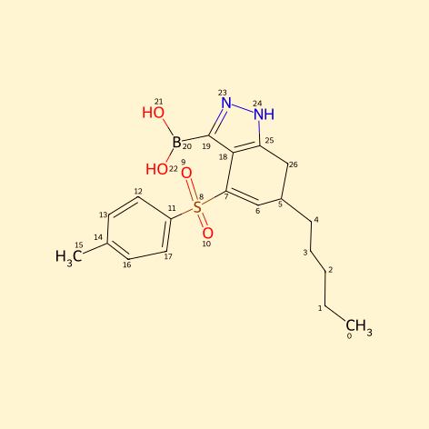 CCCCCC1C=C(S(=O)(=O)c2ccc(C)cc2)c2c(B(O)O)n[nH]c2C1